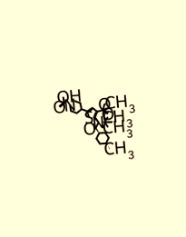 COC(=O)c1cc(C2CCN(C(=O)O)CC2)sc1N(C(=O)[C@H]1CC[C@H](C)CC1)C(C)C